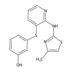 Cc1csc(Nc2ncccc2Sc2cccc(O)c2)n1